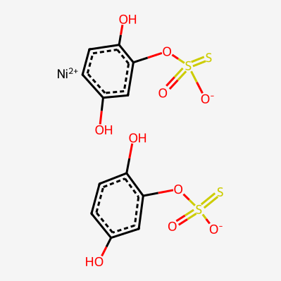 O=S([O-])(=S)Oc1cc(O)ccc1O.O=S([O-])(=S)Oc1cc(O)ccc1O.[Ni+2]